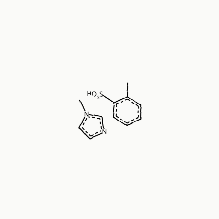 Cc1ccccc1S(=O)(=O)O.Cn1ccnc1